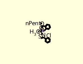 CCCCCOC(=O)c1ccccc1/C=N/N(C)c1nc(-c2ccccc2Cl)cs1